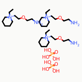 CC[N+]1(CCOCCN)CCCCC1.CC[N+]1(CCOCCN)CCCCC1.CC[N+]1(CCOCCN)CCCCC1.O=P(O)(O)O.O=P(O)(O)O